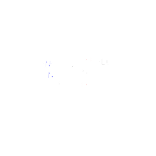 CCOC(=O)C1=C[N]N=C1